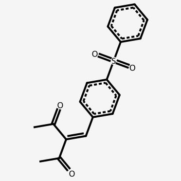 CC(=O)C(=Cc1ccc(S(=O)(=O)c2ccccc2)cc1)C(C)=O